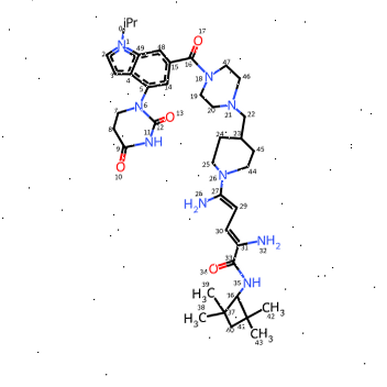 CC(C)n1ccc2c(N3CCC(=O)NC3=O)cc(C(=O)N3CCN(CC4CCN(/C(N)=C/C=C(\N)C(=O)NC5C(C)(C)CC5(C)C)CC4)CC3)cc21